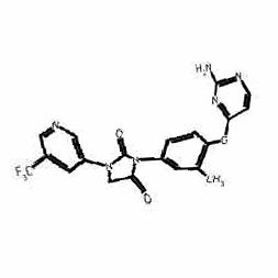 Cc1cc(N2C(=O)CN(c3cncc(C(F)(F)F)c3)C2=O)ccc1Oc1ccnc(N)n1